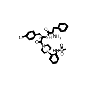 CS(=O)(=O)Nc1ccccc1N1CCN(C(=O)[C@@H](Cc2ccc(Cl)cc2)NC(=O)[C@@H](N)Cc2ccccc2)CC1